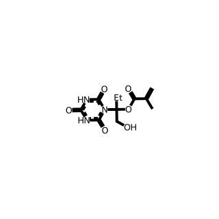 C=C(C)C(=O)OC(CC)(CO)n1c(=O)[nH]c(=O)[nH]c1=O